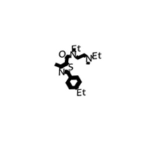 CCc1ccc(-c2nc(C)c(C(=O)N(CC)CCN(C)CC)s2)cc1